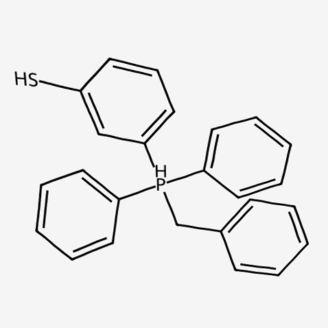 Sc1cccc([PH](Cc2ccccc2)(c2ccccc2)c2ccccc2)c1